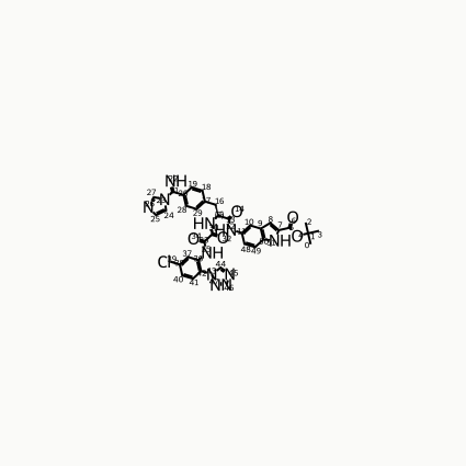 CC(C)(C)OC(=O)c1cc2cc(NC(=O)[C@H](Cc3ccc(C(=N)n4ccnc4)cc3)NC(=O)C(=O)Nc3cc(Cl)ccc3-n3cnnn3)ccc2[nH]1